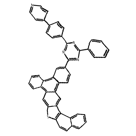 c1ccc(-c2nc(-c3ccc(-c4ccncc4)cc3)nc(-c3ccc4c(c3)c3ccccc3c3cc5sc6ccc7ccccc7c6c5cc43)n2)cc1